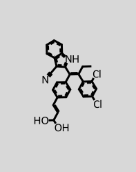 CC/C(=C(/c1ccc(/C=C/C(O)O)cc1)c1[nH]c2ccccc2c1C#N)c1ccc(Cl)cc1Cl